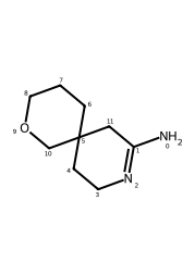 NC1=NCCC2(CCCOC2)C1